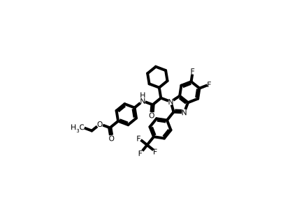 CCOC(=O)c1ccc(NC(=O)C(C2CCCCC2)n2c(-c3ccc(C(F)(F)F)cc3)nc3cc(F)c(F)cc32)cc1